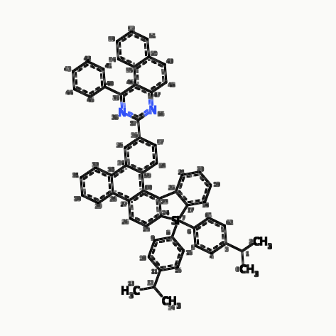 CC(C)c1ccc([Si]2(c3ccc(C(C)C)cc3)c3ccccc3-c3c2ccc2c4ccccc4c4cc(-c5nc(-c6ccccc6)c6c(ccc7ccccc76)n5)ccc4c32)cc1